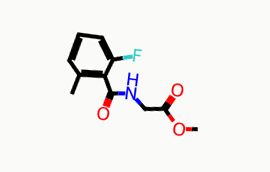 COC(=O)CNC(=O)c1c(C)cccc1F